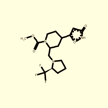 COC(=O)N1CCC(c2cc(=O)[nH]o2)CC1CN1CCC[C@H]1C(F)(F)F